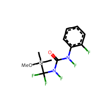 CO[Si](C)(C)C(F)(F)N(F)C(=O)N(F)c1ccccc1F